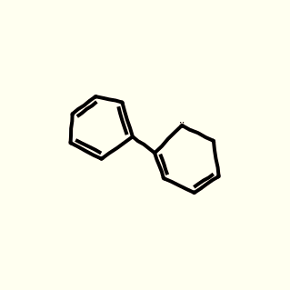 [C]1CC=CC=C1c1ccccc1